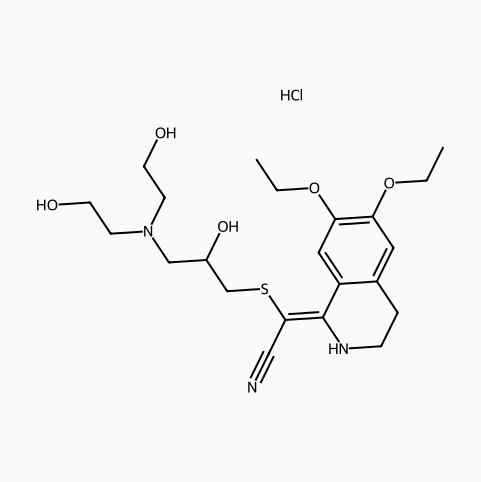 CCOc1cc2c(cc1OCC)C(=C(C#N)SCC(O)CN(CCO)CCO)NCC2.Cl